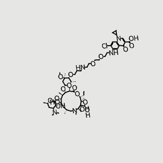 CC[C@H]1OC(=O)[C@H](C)[C@@H](O[C@H]2C[C@@](C)(OC)[C@@H](OCCCNCCOCCOCCNc3cc4c(=O)c(C(=O)O)cn(C5CC5)c4cc3Cl)[C@H](C)O2)[C@H](C)[C@@H](O[C@@H]2O[C@H](C)C[C@H](N(C)C)[C@H]2O)[C@](C)(O)C[C@@H](C)CN(C)[C@H](C)[C@@]2(O)[C@H](O)O[C@]12C